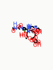 CC[C@H]1OC(=O)[C@H](C)[C@@H](O[C@H]2C[C@@](C)(OC)[C@@H](O)[C@H](C)O2)[C@H](C)[C@@H](O[C@@H]2O[C@H](C)C[C@H](N(C)CCc3cn(Cc4ccc(N5C[C@H](CNC(C)=O)OC5=O)cc4F)nn3)[C@H]2O)[C@](C)(O)C[C@@H](C)CN(C)[C@H](C)[C@@H](O)[C@]1(C)O